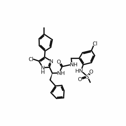 Cc1ccc(-c2nc([C@H](Cc3ccccc3)NC(=O)NCc3cc(Cl)ccc3NS(C)(=O)=O)[nH]c2Cl)cc1